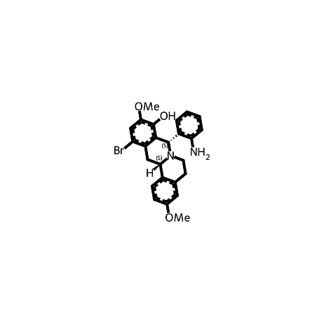 COc1ccc2c(c1)CCN1[C@@H](c3ccccc3N)c3c(O)c(OC)cc(Br)c3C[C@@H]21